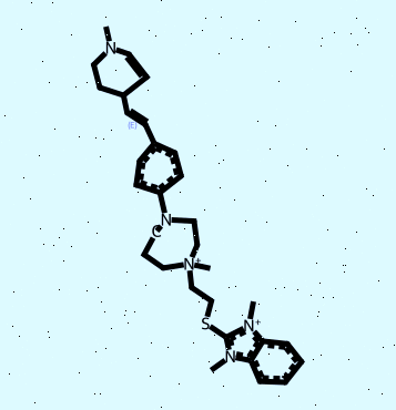 CN1C=CC(/C=C/c2ccc(N3CCC[N+](C)(CCSc4n(C)c5ccccc5[n+]4C)CC3)cc2)CC1